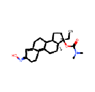 CN(C)C(=O)O[C@@]1(CC#N)CCC2C3CCC4=CC(=NO)CCC4=C3CC[C@@]21C